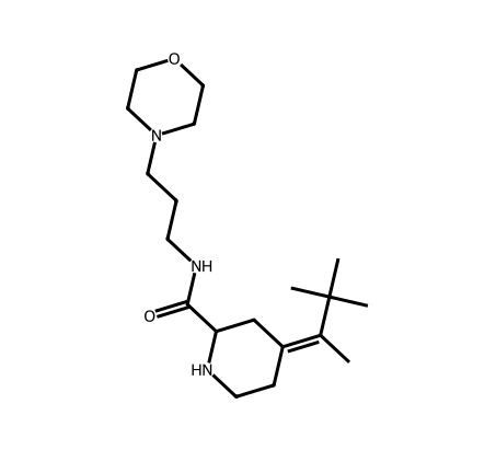 C/C(=C1\CCNC(C(=O)NCCCN2CCOCC2)C1)C(C)(C)C